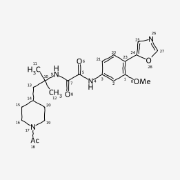 COc1cc(NC(=O)C(=O)NC(C)(C)CC2CCN(C(C)=O)CC2)ccc1-c1cnco1